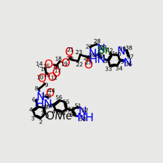 COc1cccc(CN(CCOC(=O)[C@H](C)OC(=O)COC(=O)CCC(=O)N2CCN=C2Nc2ccc3nccnc3c2Br)C(=O)Nc2ccc(-c3cn[nH]c3)cc2)c1